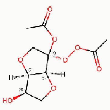 CC(=O)OO[C@@]1(OC(C)=O)CO[C@@H]2[C@H](O)CO[C@@H]21